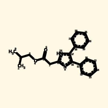 CC(C)COC(=O)Cc1nc(-c2ccccc2)c(-c2ccccc2)[nH]1